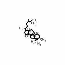 CC(CCC1OC1(C)C)C1CC[C@@]2(C)C34CC[C@H]5C(C)(C)[C@@H](C)CC[C@]5(C)C3(CC[C@]12C)O4